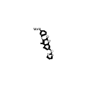 CNc1cccc(Sc2c(C)c3ccc(Oc4ncccn4)cc3oc2=O)c1